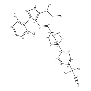 CCC(C)c1onc(-c2c(Cl)cncc2Cl)c1/C=C/C12CCC(c3ccc(C(C)(C)C#N)cc3)(CC1)OC2